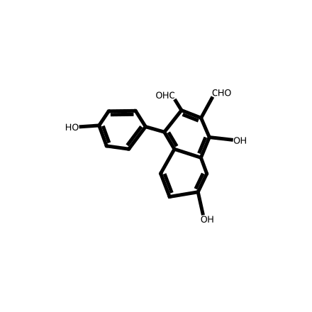 O=Cc1c(C=O)c(-c2ccc(O)cc2)c2ccc(O)cc2c1O